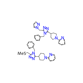 CSCc1nnc(C2CCN(c3ccccn3)CC2)n1Cc1ccccc1.c1ccc(Cn2c(Cn3cccn3)nnc2C2CCN(c3ccccn3)CC2)cc1